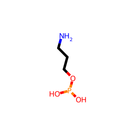 NCCCOP(O)O